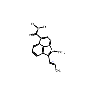 C/C=C/C1=[N+](C(C)CCC)c2ccc(C(=O)N(CC)CC)c3cccc1c23